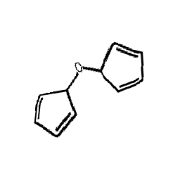 C1=CC(OC2C=CC=C2)C=C1